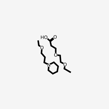 CCOCCCN1CCCCC1.CCOCCOCCC(=O)O